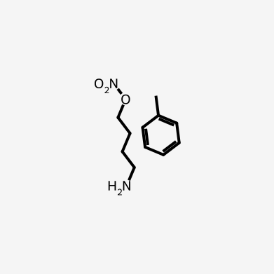 Cc1ccccc1.NCCCCO[N+](=O)[O-]